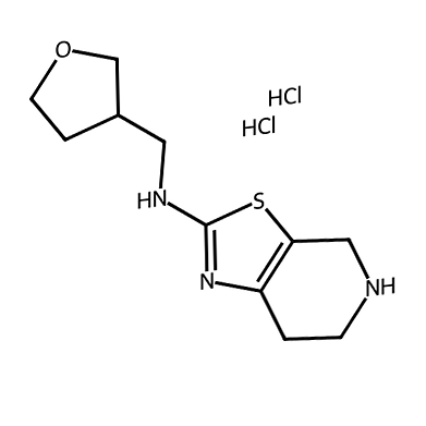 C1Cc2nc(NCC3CCOC3)sc2CN1.Cl.Cl